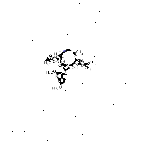 COc1ccc2c(O[C@@H]3C[C@H]4C(=O)N[C@]5(C(=O)NS(=O)(=O)C6(C)CC6)C[C@H]5/C=C\CC[C@@H](C)C[C@@H](C)[C@H](NC(=O)OC(C)(C)C(C)(F)F)C(=O)N4C3)cc(OC)nc2c1